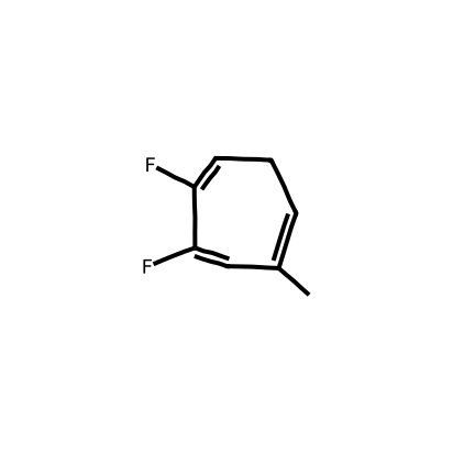 CC1=CCC=C(F)C(F)=C1